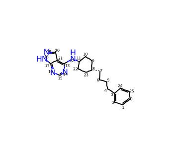 c1ccc(CCCC[C@H]2CC[C@H](Nc3ncnc4[nH]ncc34)CC2)cc1